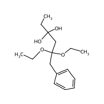 CCOC(Cc1ccccc1)(CC(O)(O)CC)OCC